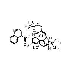 CC1=C[C@]23C(=O)[C@@H](C=C4COC(C)(C)O[C@H]4[C@]2(O)[C@H]1OC(=O)c1ccnc2ccccc12)C1[C@@H](C[C@H]3C)C1(C)C